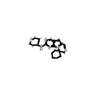 C1=NCC2(CCCCC2)n2c1cc1cnc(NC3CCOCC3)nc12